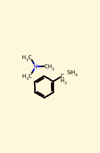 CN(C)C.Cc1ccccc1.[SiH4]